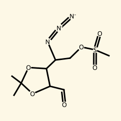 CC1(C)OC(C=O)C(C(COS(C)(=O)=O)N=[N+]=[N-])O1